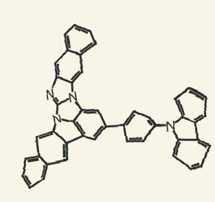 c1ccc2cc3c(cc2c1)nc1n3c2cc(-c3ccc(-n4c5ccccc5c5ccccc54)cc3)cc3c4cc5ccccc5cc4n1c32